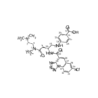 CN(C)CCN(C)C(=O)C[C@@H](CNc1ccc(C(=O)O)cc1)NC(=O)/C=C/c1cc(Cl)ccc1-n1cnnn1